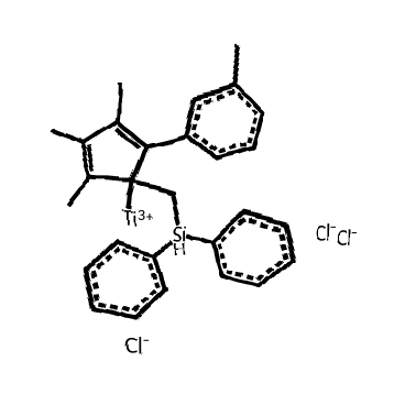 CC1=C(C)[C]([Ti+3])(C[SiH](c2ccccc2)c2ccccc2)C(c2cccc(C)c2)=C1C.[Cl-].[Cl-].[Cl-]